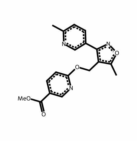 COC(=O)c1ccc(OCc2c(-c3ccc(C)nc3)noc2C)nc1